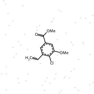 C=Cc1cc(C(=O)OC)cc(OC)c1Cl